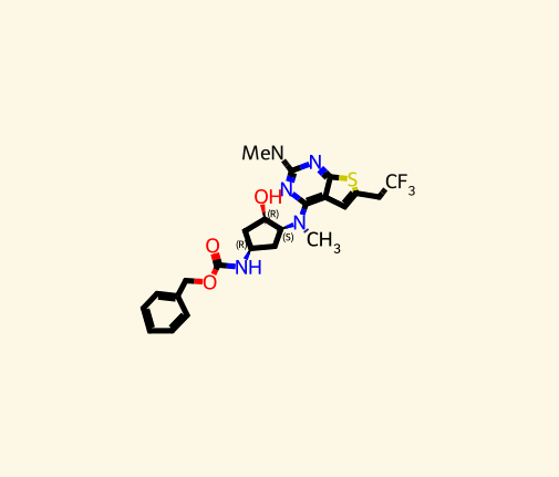 CNc1nc(N(C)[C@H]2C[C@@H](NC(=O)OCc3ccccc3)C[C@H]2O)c2cc(CC(F)(F)F)sc2n1